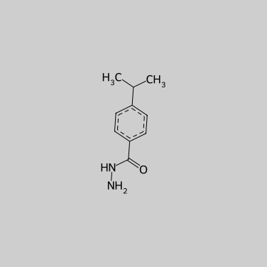 CC(C)c1ccc(C(=O)NN)cc1